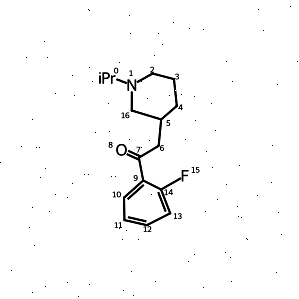 CC(C)N1CCCC(CC(=O)c2ccccc2F)C1